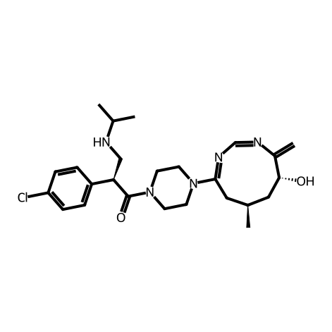 C=C1/N=C\N=C(\N2CCN(C(=O)[C@H](CNC(C)C)c3ccc(Cl)cc3)CC2)C[C@H](C)C[C@H]1O